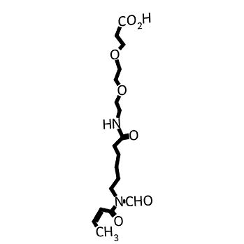 C/C=C\C(=O)N(C=O)CCCCCC(=O)NCCOCCOCCC(=O)O